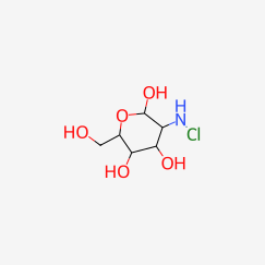 OCC1OC(O)C(NCl)C(O)C1O